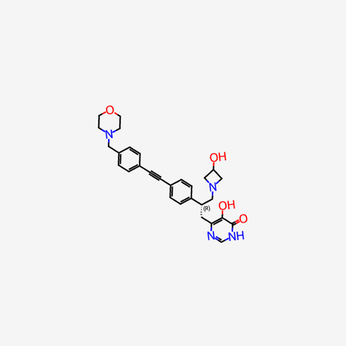 O=c1[nH]cnc(C[C@@H](CN2CC(O)C2)c2ccc(C#Cc3ccc(CN4CCOCC4)cc3)cc2)c1O